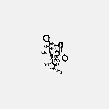 CCC[C@H](NC(=O)[C@@H]1[C@@H](C2CCCCC2)CCN1C(=O)[C@@H](NC(=O)[C@@H](NC(=O)c1ccc[nH]1)C1CCCCC1)C(C)(C)C)C(=O)C(N)=O